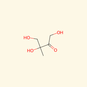 CC(O)(CO)C(=O)CO